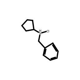 Cl[SiH](Cc1ccccc1)C1CCCC1